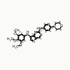 COc1cc(Nc2csc3cnc(Nc4ccc(N5CCOCC5)nc4)nc23)cc(OC)c1OC